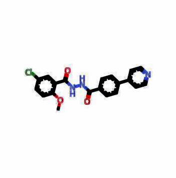 COc1ccc(Cl)cc1C(=O)NNC(=O)c1ccc(-c2ccncc2)cc1